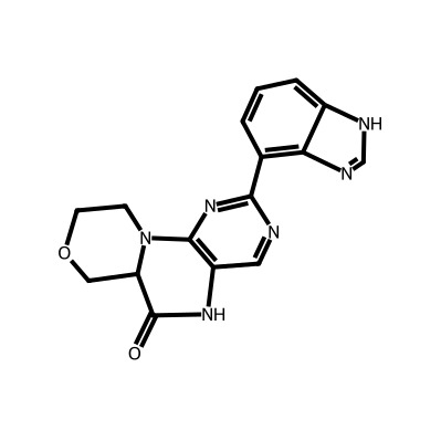 O=C1Nc2cnc(-c3cccc4[nH]cnc34)nc2N2CCOCC12